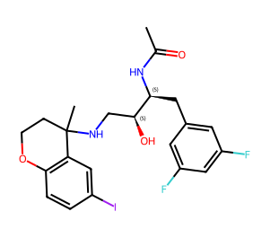 CC(=O)N[C@@H](Cc1cc(F)cc(F)c1)[C@@H](O)CNC1(C)CCOc2ccc(I)cc21